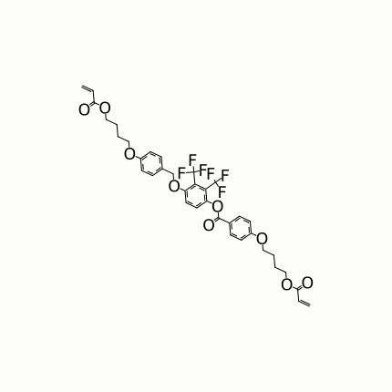 C=CC(=O)OCCCCOc1ccc(COc2ccc(OC(=O)c3ccc(OCCCCOC(=O)C=C)cc3)c(C(F)(F)F)c2C(F)(F)F)cc1